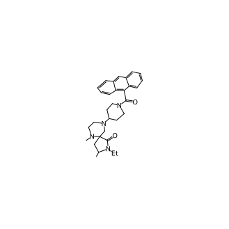 CCN1C(=O)C2(CC1C)CN(C1CCN(C(=O)c3c4ccccc4cc4ccccc34)CC1)CCN2C